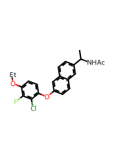 CCOc1ccc(Oc2ccc3cc(C(C)NC(C)=O)ccc3c2)c(Cl)c1F